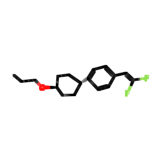 CCCO[C@H]1CC[C@H](c2ccc(C=C(F)F)cc2)CC1